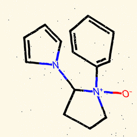 [O-][N+]1(c2ccccc2)CCCC1n1cccc1